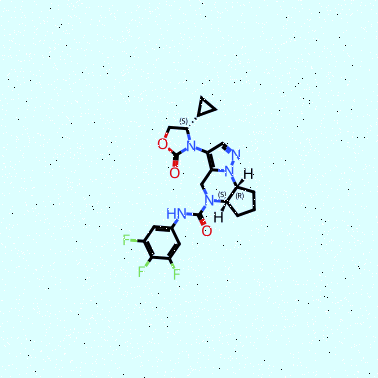 O=C(Nc1cc(F)c(F)c(F)c1)N1Cc2c(N3C(=O)OC[C@@H]3C3CC3)cnn2[C@@H]2CCC[C@@H]21